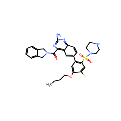 CCCCOc1cc(-c2ccc3nc(N)nc(C(=O)N4Cc5ccccc5C4)c3c2)c(S(=O)(=O)N2CCNCC2)cc1F